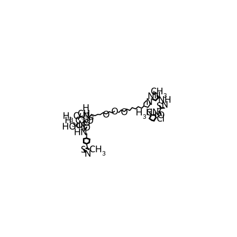 Cc1nc(Nc2ncc(C(=O)Nc3c(C)cccc3Cl)s2)cc(N2CCC(CCCCCCOCCOCCOCCCCCC(=O)N[C@H](C(=O)N3C[C@H](O)C[C@H]3C(=O)NCc3ccc(-c4scnc4C)cc3)C(C)(C)C)CC2)n1